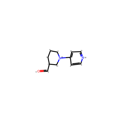 O=[C]C1CCCN(c2ccncc2)C1